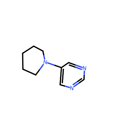 c1ncc(N2CCCCC2)cn1